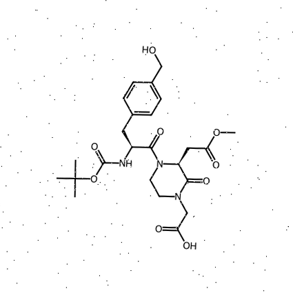 COC(=O)C[C@H]1C(=O)N(CC(=O)O)CCN1C(=O)[C@H](Cc1ccc(CO)cc1)NC(=O)OC(C)(C)C